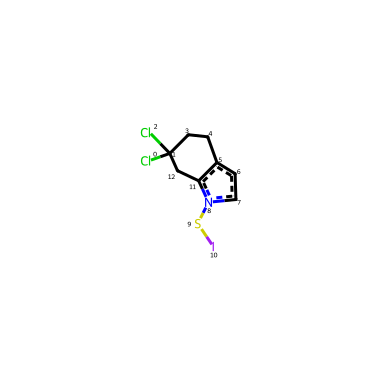 ClC1(Cl)CCc2ccn(SI)c2C1